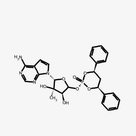 C[C@@]1(O)[C@H](O)C(O[P@@]2(=O)O[C@H](c3ccccc3)C[C@H](c3ccccc3)O2)O[C@H]1n1ccc2c(N)ncnc21